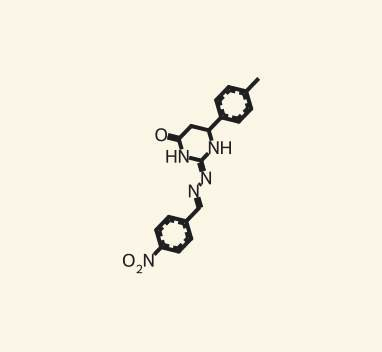 Cc1ccc(C2CC(=O)NC(=NN=Cc3ccc([N+](=O)[O-])cc3)N2)cc1